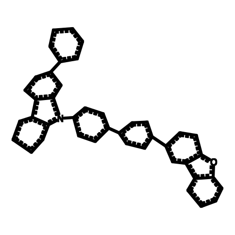 c1ccc(-c2ccc3c4ccccc4n(-c4ccc(-c5ccc(-c6ccc7oc8ccccc8c7c6)cc5)cc4)c3c2)cc1